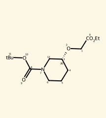 CCOC(=O)CO[C@@H]1CCCN(C(=O)OC(C)(C)C)C1